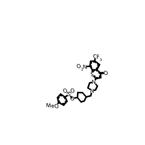 COc1ccc(S(=O)(=O)OC2CCC(CN3CCN(c4cc(=O)c5cc(C(F)(F)F)cc([N+](=O)[O-])c5s4)CC3)CC2)cc1